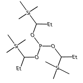 CCC(OP(OC(CC)[Si](C)(C)C)OC(CC)[Si](C)(C)C)[Si](C)(C)C